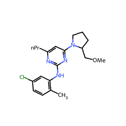 CCCc1cc(N2CCCC2COC)nc(Nc2cc(Cl)ccc2C)n1